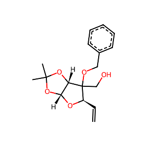 C=C[C@H]1O[C@@H]2OC(C)(C)O[C@@H]2C1(CO)OCc1ccccc1